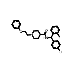 O=C(NC(c1ccc(Cl)cc1)c1ccccc1I)C1CCN(CCOc2ccccc2)CC1